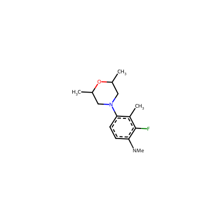 CNc1ccc(N2CC(C)OC(C)C2)c(C)c1F